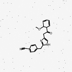 COC1C=[C]C=CC1C(=O)Cc1c[nH]c(Cc2ccc(C#N)cc2)n1